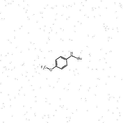 CC(C)(C)Nc1ccc(OC(F)(F)F)cc1